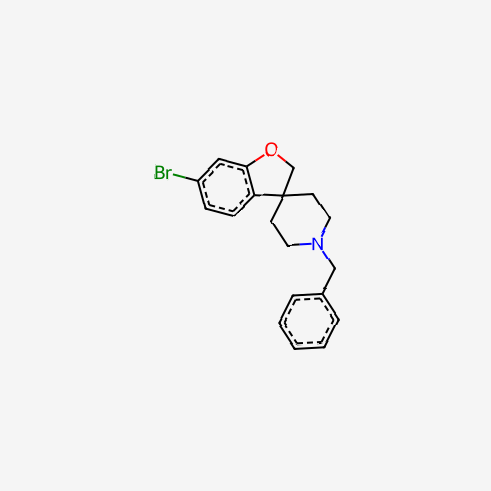 Brc1ccc2c(c1)OCC21CCN(Cc2ccccc2)CC1